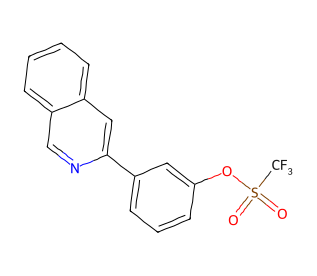 O=S(=O)(Oc1cccc(-c2cc3ccccc3cn2)c1)C(F)(F)F